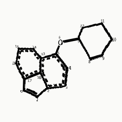 C1=Cc2ccc(OC3CCCCC3)c3cccc1c23